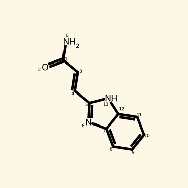 NC(=O)C=Cc1nc2ccccc2[nH]1